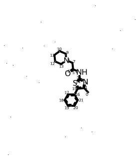 Cc1nc(NC(=O)CN2CCCCC2)sc1-c1ccccc1